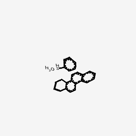 O.Sc1ccccc1.c1ccc2c(c1)ccc1c3c(ccc12)CCCC3